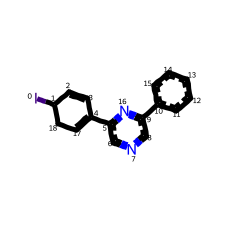 IC1C=CC(c2cncc(-c3ccccc3)n2)=CC1